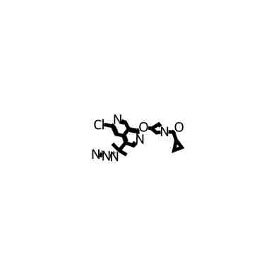 CC(C)(N=[N+]=[N-])c1cnc(OC2CN(C(=O)C3CC3)C2)c2cnc(Cl)cc12